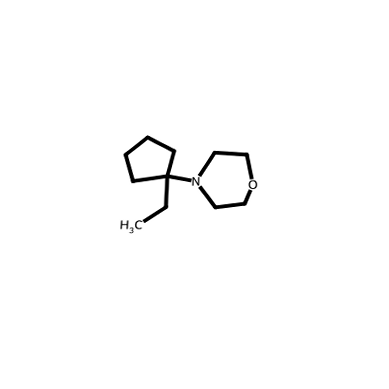 CCC1(N2CCOCC2)CCCC1